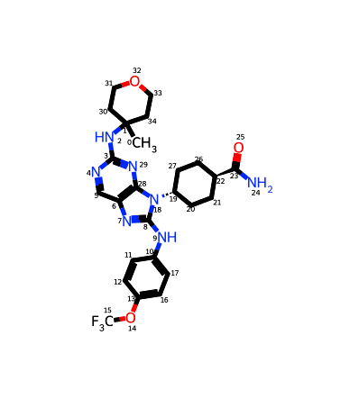 CC1(Nc2ncc3nc(Nc4ccc(OC(F)(F)F)cc4)n([C@H]4CC[C@H](C(N)=O)CC4)c3n2)CCOCC1